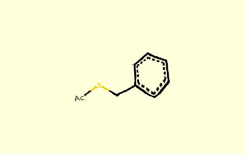 CC(=O)SCc1[c]cccc1